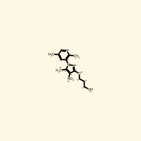 Cc1cnc(C)c(-n2nc(OCCCO)c([N+](=O)[O-])c2C)c1